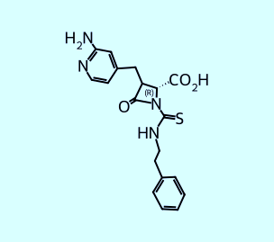 Nc1cc(CC2C(=O)N(C(=S)NCCc3ccccc3)[C@H]2C(=O)O)ccn1